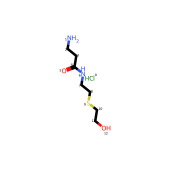 Cl.NCCC(=O)NCCSCCO